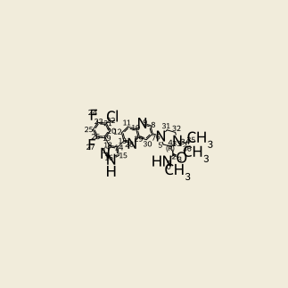 CNC(=O)[C@H]1CN(c2cnc3ccc(-c4c[nH]nc4-c4cc(Cl)c(F)cc4F)nc3c2)CCN1C(C)C